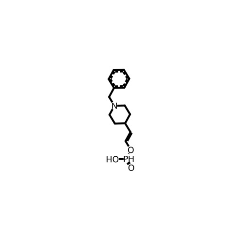 O=[PH](O)O/C=C/C1CCN(Cc2ccccc2)CC1